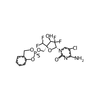 Nc1nc(=O)n([C@@H]2O[C@@](COP3(=S)OCc4ccccc4O3)(C(F)F)[C@@H](O)C2(F)F)cc1Cl